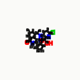 Cc1cc([C@@H](C)Nc2ccc(Cl)nc2C(=O)O)c2cc(-c3ccccc3)n(C)c(=O)c2c1